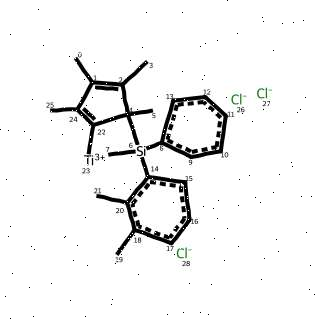 CC1=C(C)C(C)([Si](C)(c2ccccc2)c2cccc(C)c2C)[C]([Ti+3])=C1C.[Cl-].[Cl-].[Cl-]